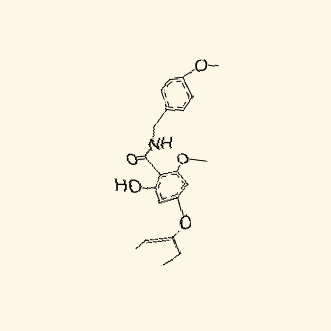 CC=C(CC)Oc1cc(O)c(C(=O)NCc2ccc(OC)cc2)c(OC)c1